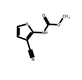 COC(=O)Nc1sccc1C#N